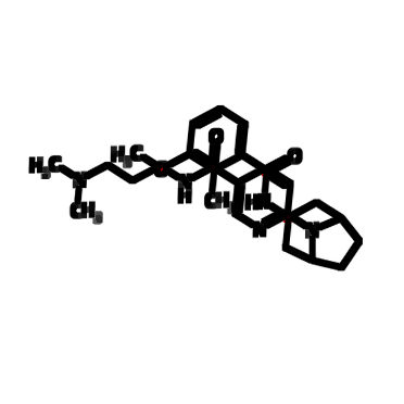 COc1cccc(C(=O)NC2CC3CCC(C2)N3c2ccc(C(=O)NCCCN(C)C)cn2)c1C